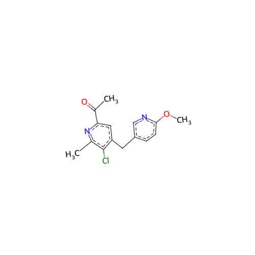 COc1ccc(Cc2cc(C(C)=O)nc(C)c2Cl)cn1